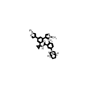 Cc1ccc(N2C[C@H]3CC[C@@H](C2)N3C)cc1C(=O)NC1(c2cc(-c3cnn(C)c3)cc(-c3cnn(C(C)C)c3)c2)CC1